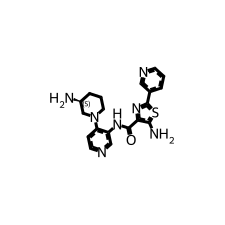 Nc1sc(-c2cccnc2)nc1C(=O)Nc1cnccc1N1CCC[C@H](N)C1